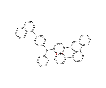 c1ccc(-c2cccc3c2c(-c2ccc(N(c4ccccc4)c4ccc(-c5cccc6ccccc56)cc4)cc2)cc2ccccc23)cc1